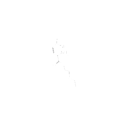 CCOCCOC(=O)C(N)/C=C\C(C)N